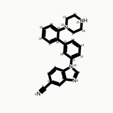 N#Cc1ccc2c(c1)ncn2-c1cccc(-c2ccccc2N2CCNCC2)c1